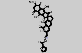 COC1=CC(=O)c2c(O)c3c(c(O)c2C1=O)C(=O)C1(CCc2cc4cc(/C=N/NC(=O)c5cccs5)[nH]c(=O)c4c(O)c21)C3=O